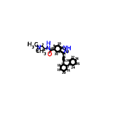 CN(C)CCNC(=O)c1ccc2[nH]nc(C#Cc3ccccc3-c3ccccc3)c2c1